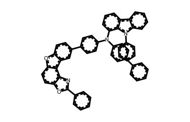 c1ccc(-c2ccc(N(c3ccc(-c4ccc5oc6ccc7oc(-c8ccccc8)nc7c6c5c4)cc3)c3cccc4c5ccccc5n(-c5ccccc5)c34)cc2)cc1